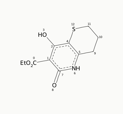 CCOC(=O)c1c(O)c2c([nH]c1=O)CCCS2